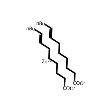 CCCCC=CCCCCCC(=O)[O-].CCCCC=CCCCCCC(=O)[O-].[Zn+2]